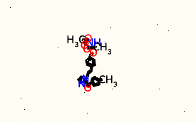 Cc1ccc(C(=O)c2nccn2C/C=C/c2ccc(CO[C@H](C)C(=O)NS(C)(=O)=O)cc2)cc1